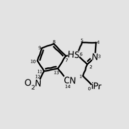 CC(C)CC1=NCC[SH]1c1cccc([N+](=O)[O-])c1C#N